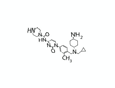 Cc1cc(-n2ccc(NC(=O)N3CCNCC3)nc2=O)ccc1CN(CC1CC1)[C@H]1CC[C@H](N)CC1